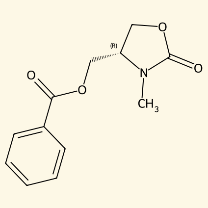 CN1C(=O)OC[C@H]1COC(=O)c1ccccc1